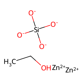 CCO.[O-][Si]([O-])([O-])[O-].[Zn+2].[Zn+2]